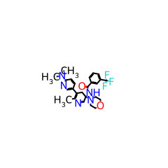 CC1=C(c2ccc(N(C)C)nc2)CC(NC(=O)c2cccc(C(F)(F)F)c2)(N2CCOCC2)C=N1